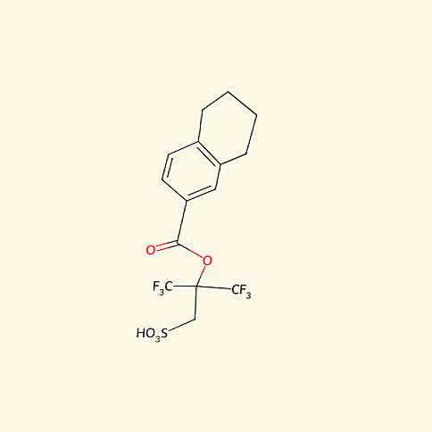 O=C(OC(CS(=O)(=O)O)(C(F)(F)F)C(F)(F)F)c1ccc2c(c1)CCCC2